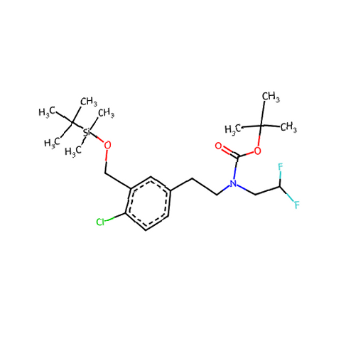 CC(C)(C)OC(=O)N(CCc1ccc(Cl)c(CO[Si](C)(C)C(C)(C)C)c1)CC(F)F